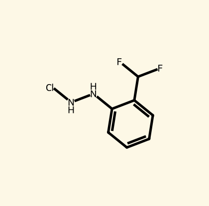 FC(F)c1ccccc1NNCl